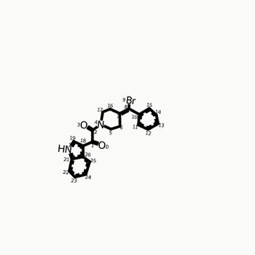 O=C(C(=O)N1CCC(=C(Br)c2ccccc2)CC1)c1c[nH]c2ccccc12